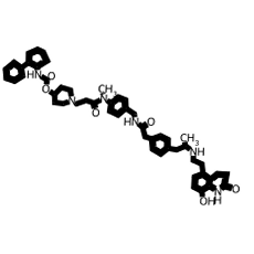 CC(Cc1ccc(CC(=O)NCc2ccc(N(C)C(=O)CCN3CCC(OC(=O)Nc4ccccc4-c4ccccc4)CC3)cc2)cc1)NCCc1ccc(O)c2[nH]c(=O)ccc12